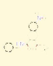 CC(C)(C)OC(=O)C1Cc2cc([N+](=O)[O-])ccc2CC1C(=O)NCc1ccccc1